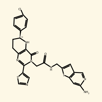 Nc1cc2sc(CNC(=O)Cn3c(-c4cncs4)nc4c(c3=O)N[C@H](c3ccc(Cl)cc3)CC4)cc2cn1